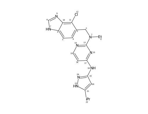 CCN(Cc1ccc2[nH]cnc2c1Cl)c1nccc(Nc2cc(C(C)C)[nH]n2)n1